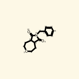 O=C1C2CCOCCC2C(=O)N1Cc1ccccc1